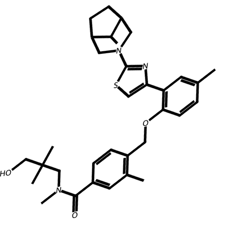 Cc1ccc(OCc2ccc(C(=O)N(C)CC(C)(C)CO)cc2C)c(-c2csc(N3CC4CCC(C3)C4C)n2)c1